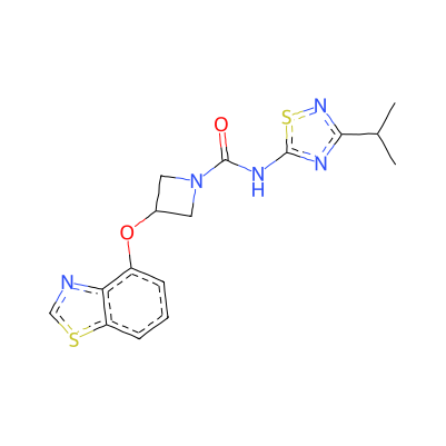 CC(C)c1nsc(NC(=O)N2CC(Oc3cccc4scnc34)C2)n1